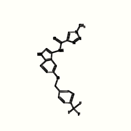 Cn1cc(C(=O)Nc2c[nH]c3ccc(OCc4ccc(C(F)(F)F)cc4)cc23)nn1